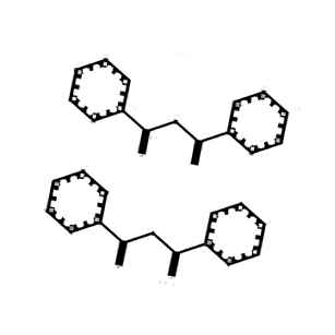 O=C(CC(=O)c1ccccc1)c1ccccc1.O=C(CC(=O)c1ccccc1)c1ccccc1.[Pt+2]